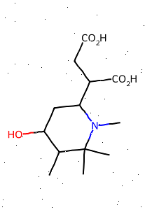 CC1C(O)CC(C(CC(=O)O)C(=O)O)N(C)C1(C)C